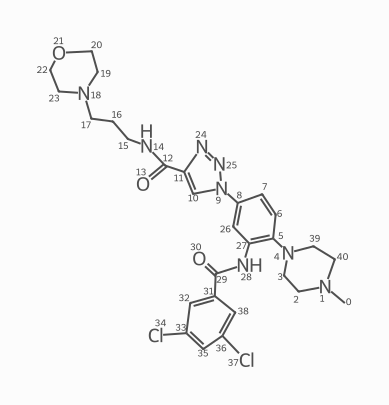 CN1CCN(c2ccc(-n3cc(C(=O)NCCCN4CCOCC4)nn3)cc2NC(=O)c2cc(Cl)cc(Cl)c2)CC1